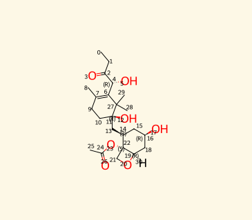 CCC(=O)[C@H](O)C1=C(C)CC[C@@](O)(C[C@H]2C[C@@H](O)C[C@H]3OC[C@@]23OC(C)=O)C1(C)C